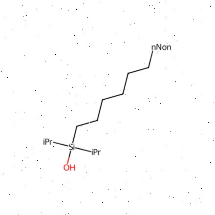 CCCCCCCCCCCCCCC[Si](O)(C(C)C)C(C)C